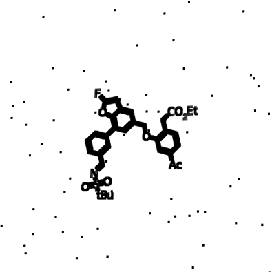 CCOC(=O)Cc1ccc(C(C)=O)cc1OCc1cc(-c2cccc(C=NS(=O)(=O)C(C)(C)C)c2)c2oc(F)cc2c1